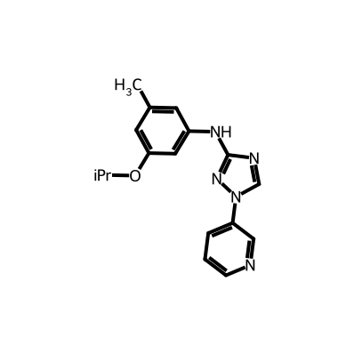 Cc1cc(Nc2ncn(-c3cccnc3)n2)cc(OC(C)C)c1